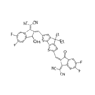 CCC1(CC)c2cc(/C=C3\C(=O)c4cc(F)c(F)cc4C3=C(C#N)C#N)sc2-c2sc(/C=C3/C(=C(C#N)C#N)c4cc(F)c(F)cc4C3O)cc21